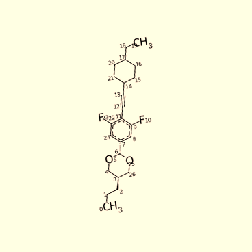 CCC[C@H]1CO[C@H](c2cc(F)c(C#CC3CCC(CC)CC3)c(F)c2)OC1